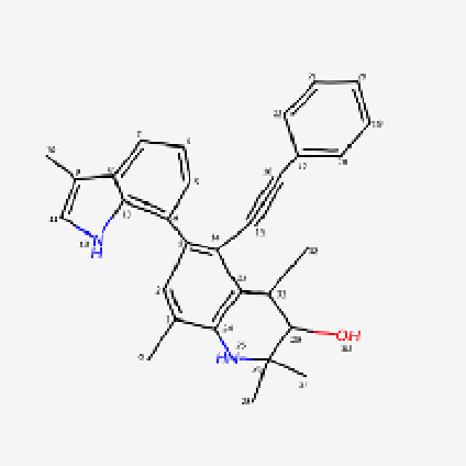 Cc1cc(-c2cccc3c(C)c[nH]c23)c(C#Cc2ccccc2)c2c1NC(C)(C)C(O)C2C